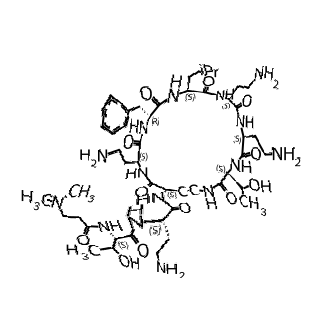 CC(C)C[C@@H]1NC(=O)[C@@H](Cc2ccccc2)NC(=O)[C@H](CCN)NC(=O)[C@@H](NC(=O)[C@H](CCN)NC(=O)[C@@H](NC(=O)CCN(C)C)C(C)O)CCNC(=O)[C@H](C(C)O)NC(=O)[C@H](CCN)NC(=O)[C@H](CCN)NC1=O